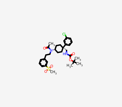 CC(=O)N(CCc1cccc(S(C)(=O)=O)c1)[C@H]1CC[C@](CNC(=O)OC(C)(C)C)(c2cccc(Cl)c2)CC1